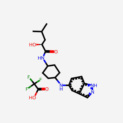 CC(C)C[C@H](O)C(=O)NC1CCC(Nc2ccc3[nH]ncc3c2)CC1.O=C(O)C(F)(F)F